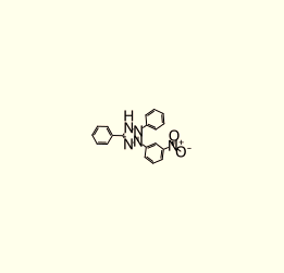 O=[N+]([O-])c1cccc(N2N=C(c3ccccc3)NN2c2ccccc2)c1